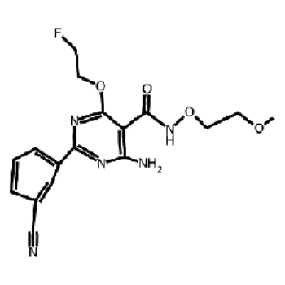 COCCONC(=O)c1c(N)nc(-c2cccc(C#N)c2)nc1OCCF